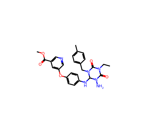 CCN1C(=O)N(N)C(Nc2ccc(Oc3cncc(C(=O)OC)c3)cc2)N(Cc2ccc(C)cc2)C1=O